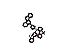 CC1(C)C2=C(C=CCC2)c2c(N(c3ccc(-c4cc5c6ccccc6ccc5c5ccccc45)cc3)c3ccc4c(c3)oc3ccccc34)cccc21